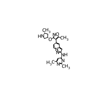 Cc1cc(Nc2cc3cc(-c4c(O[C@@H]5CN[C@H](C)C5)noc4C)ccn3n2)nc(C)n1